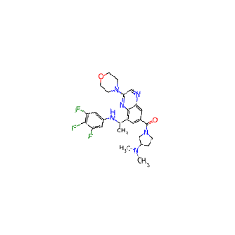 CC(Nc1cc(F)c(F)c(F)c1)c1cc(C(=O)N2CCC(N(C)C)C2)cc2ncc(N3CCOCC3)nc12